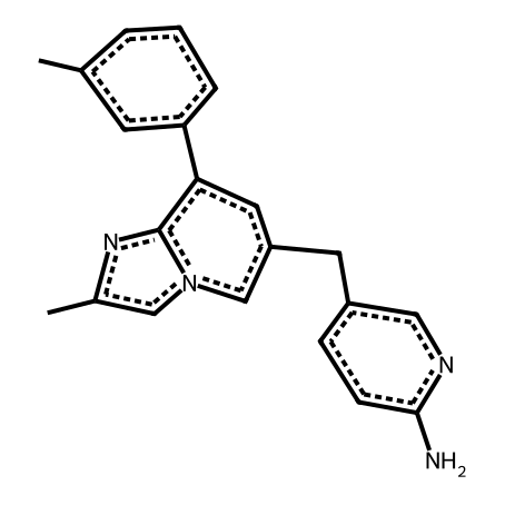 Cc1cccc(-c2cc(Cc3ccc(N)nc3)cn3cc(C)nc23)c1